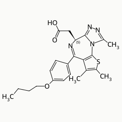 CCCCOc1ccc(C2=N[C@@H](CC(=O)O)c3nnc(C)n3-c3sc(C)c(C)c32)cc1